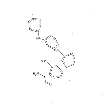 C=C[CH2][AlH2].Nc1ccccc1.O=Cc1ccccc1.c1ccc(Pc2ccccc2)cc1